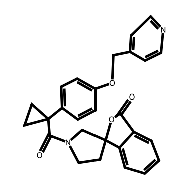 O=C1OC2(CCN(C(=O)C3(c4ccc(OCc5ccncc5)cc4)CC3)C2)c2ccccc21